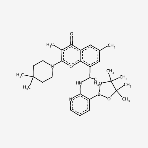 Cc1cc(C(C)Nc2ncccc2B2OC(C)(C)C(C)(C)O2)c2oc(N3CCC(C)(C)CC3)c(C)c(=O)c2c1